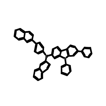 c1ccc(-c2ccc3c4ccc(N(c5ccc(-c6ccc7ccccc7c6)cc5)c5ccc6ccccc6c5)cc4n(-c4ccccc4)c3c2)cc1